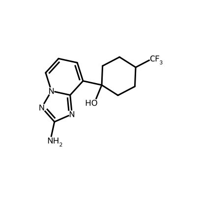 Nc1nc2c(C3(O)CCC(C(F)(F)F)CC3)cccn2n1